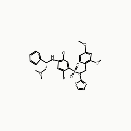 COc1ccc(CN(c2nccs2)S(=O)(=O)c2cc(Cl)c(N[C@H](CN(C)C)c3ccccc3)cc2F)c(OC)c1